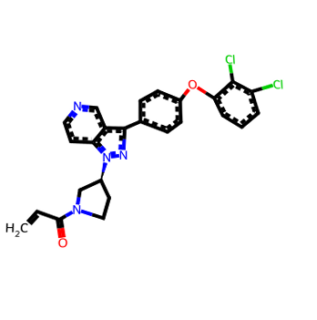 C=CC(=O)N1CC[C@H](n2nc(-c3ccc(Oc4cccc(Cl)c4Cl)cc3)c3cnccc32)C1